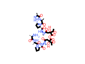 CC(=O)C(O)(CC(=O)N(C)NC(=O)[C@@H]1CCCN1C(=O)[C@H](C)NC(=O)[C@H](C)N)C(=O)OC(=O)C(O)(CC(=O)N(C)NC(=O)[C@@H]1CCCN1C(=O)[C@H](C)NC(=O)[C@H](C)N)C(C)=O